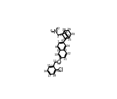 CN(C)CC1=C(c2ccc3cc(OCc4ccccc4Cl)ccc3c2)C2CCC1CC2